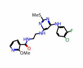 COc1ncccc1C(=O)NCCNc1cc(Nc2ccc(Cl)c(F)c2)nc(SC)n1